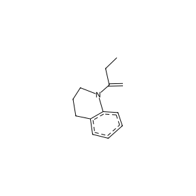 C=C(CC)N1CCCc2ccccc21